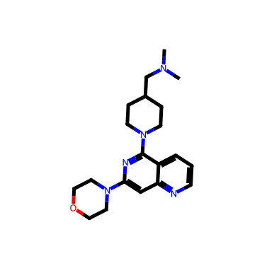 CN(C)CC1CCN(c2nc(N3CCOCC3)cc3ncccc23)CC1